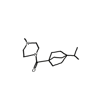 CC(C)C12CCC(C(=O)N3CCN(C)CC3)(CC1)CC2